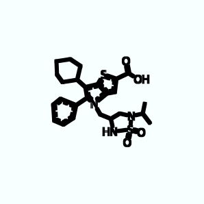 CC(C)N1CC(Cn2c(-c3ccccc3)c(C3CCCCC3)c3sc(C(=O)O)cc32)NS1(=O)=O